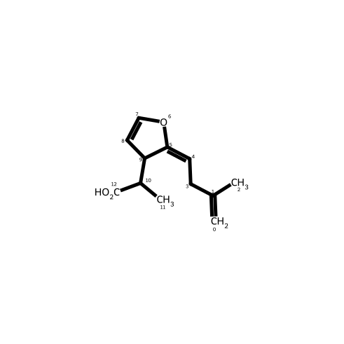 C=C(C)CC=C1OC=CC1C(C)C(=O)O